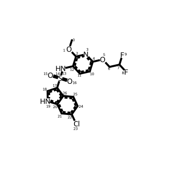 COc1nc(OCC(F)F)ccc1NS(=O)(=O)c1c[nH]c2cc(Cl)ccc12